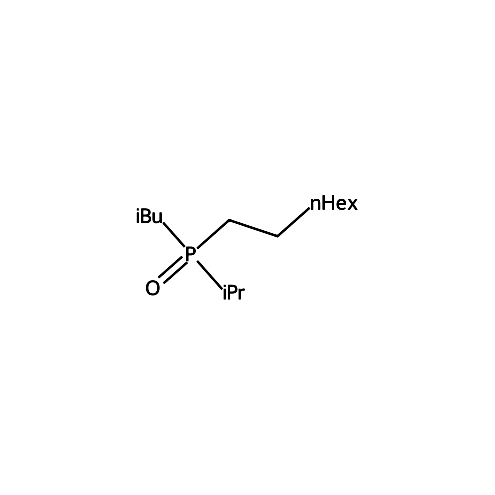 CCCCCCCCP(=O)(C(C)C)C(C)CC